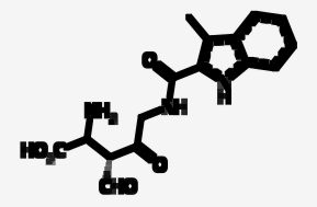 Cc1c(C(=O)NCC(=O)[C@H](C=O)C(N)C(=O)O)[nH]c2ccccc12